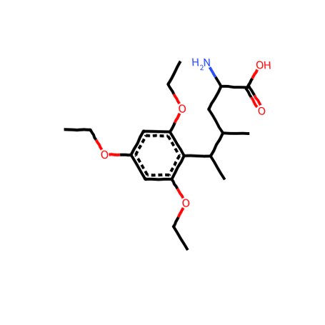 CCOc1cc(OCC)c(C(C)C(C)CC(N)C(=O)O)c(OCC)c1